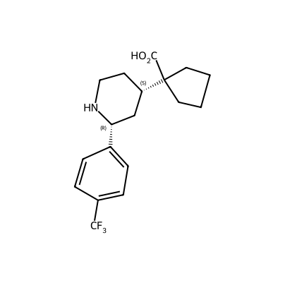 O=C(O)C1([C@H]2CCN[C@@H](c3ccc(C(F)(F)F)cc3)C2)CCCC1